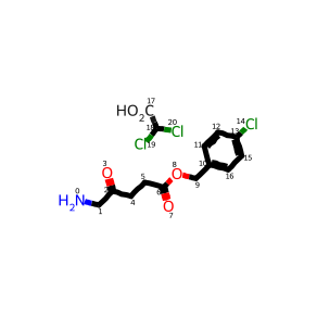 NCC(=O)CCC(=O)OCc1ccc(Cl)cc1.O=C(O)C(Cl)Cl